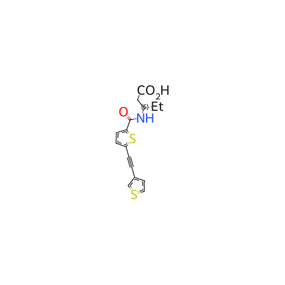 CC[C@@H](CC(=O)O)NC(=O)c1ccc(C#Cc2ccsc2)s1